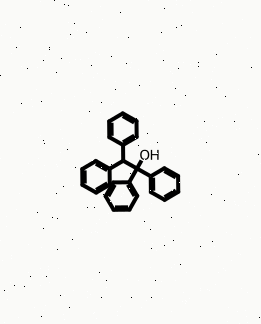 OC(c1ccccc1)(c1ccccc1)C(c1ccccc1)c1ccccc1